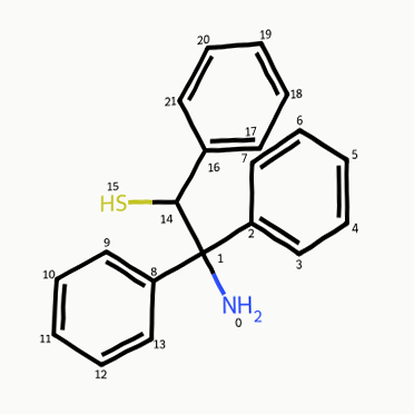 NC(c1ccccc1)(c1ccccc1)C(S)c1ccccc1